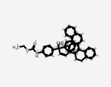 CCOC(=O)Nc1ccc(C(C)(/C=C\c2c3c(c4ccc5ccccc5c4c2C)-c2ccccc2CC3)c2ccccc2)cc1